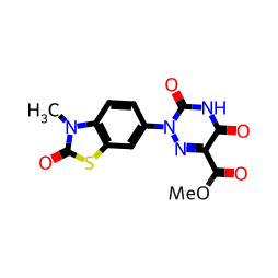 COC(=O)c1nn(-c2ccc3c(c2)sc(=O)n3C)c(=O)[nH]c1=O